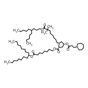 CCCCCCCCC(CCCCCCCC)OC(=O)CCCCCCCOC(=O)[C@@H]1C[C@H](OC(=O)CCN2CCCCCC2)CN1CCCCCCC(C)(C)C(=O)OCCCC(CCCCC)CCCCC